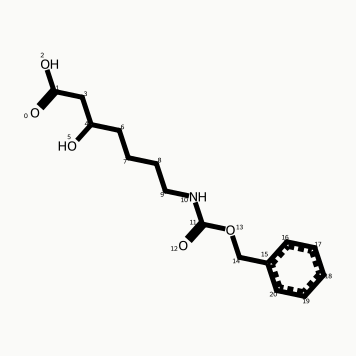 O=C(O)CC(O)CCCCNC(=O)OCc1ccccc1